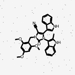 COc1cc(OC)c(Cn2c(C#N)c(-c3c[nH]c4ccccc34)n(-c3c(C)[nH]c4ccccc34)c2=O)c(OC)c1